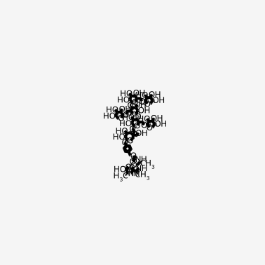 C[C@H](NC(=O)[C@H](C)NC(=O)[C@H](C)NC(=O)OCc1ccc(O[C@@H]2OCC(CO)(CO[C@@H]3OC(CO[C@H]4OC[C@@H](O)C(O)C4O)[C@@H](O[C@@H]4OC(CO[C@H]5OC[C@@H](O)C(O)C5O)[C@@H](O[C@@H]5OC(CO[C@H]6OC[C@@H](O)C(O)C6O)[C@@H](O)C(O)C5O)C(O)C4O)C(O)C3O)CC(O)C2O)cc1)C(=O)O